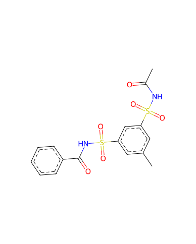 CC(=O)NS(=O)(=O)c1cc(C)cc(S(=O)(=O)NC(=O)c2ccccc2)c1